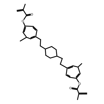 C=C(C)C(=O)OC1=CC(C)C=C(CCC2CCC(CCC3=CC(C)C=C(OC(=O)C(=C)C)C=C3)CC2)C=C1